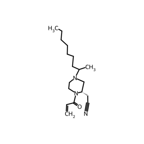 C=CC(=O)N1CCN(C(C)CCCCCCC)C[C@@H]1CC#N